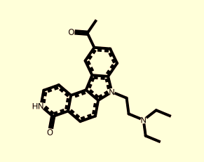 CCN(CC)CCn1c2ccc(C(C)=O)cc2c2c3cc[nH]c(=O)c3ccc21